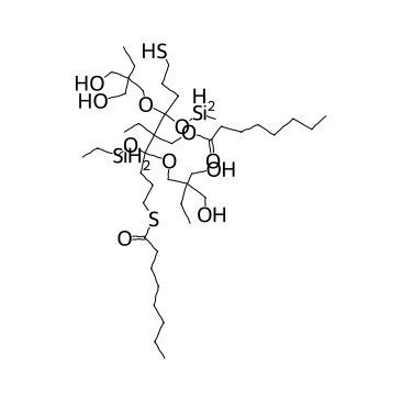 CCCCCCCC(=O)OCC(CC)(C(CCCS)(OCC(CC)(CO)CO)O[SiH2]C)C(CCCSC(=O)CCCCCCC)(OCC(CC)(CO)CO)O[SiH2]CC